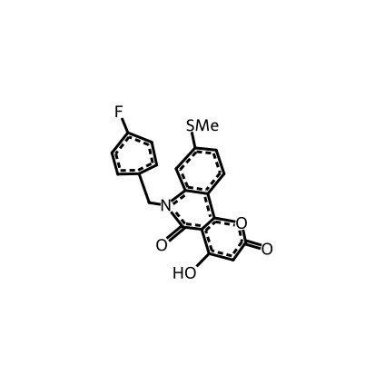 CSc1ccc2c3oc(=O)cc(O)c3c(=O)n(Cc3ccc(F)cc3)c2c1